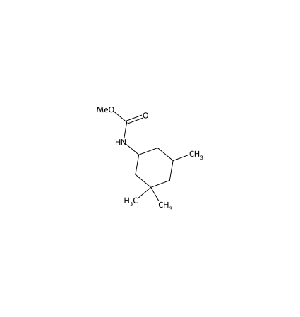 COC(=O)NC1CC(C)CC(C)(C)C1